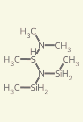 C[SiH2]N([SiH2]C)[SH](C)N(C)C